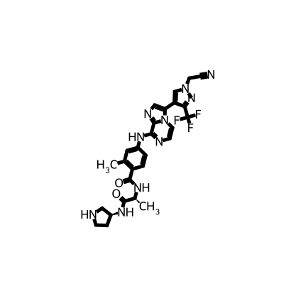 Cc1cc(Nc2nccn3c(-c4cn(CC#N)nc4C(F)(F)F)cnc23)ccc1C(=O)N[C@H](C)C(=O)N[C@H]1CCNC1